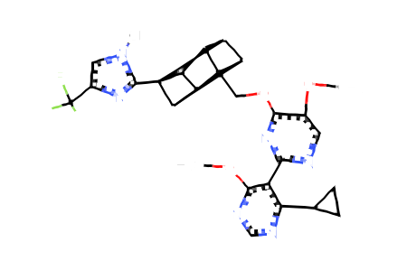 COc1cnc(-c2c(OC)ncnc2C2CC2)nc1OCC12C3C4C1C1C2C3C41c1nc(C(F)(F)F)cn1C